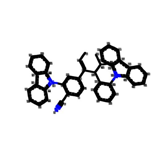 C/C=C(/c1ccc(C#N)c(-n2c3ccccc3c3ccccc32)c1)C(c1ccccc1-n1c2ccccc2c2ccccc21)C(C)C